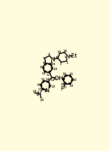 CCN1CCC(N2CCc3ccc(C(O)c4ccc(N(C)C)nc4)cc32)CC1.Fc1ccccc1